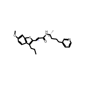 CCCc1c(/C=C/C(=O)N[C@H](C)CCCc2cccnc2)sc2cc(OC)ccc12